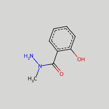 CN(N)C(=O)c1ccccc1O